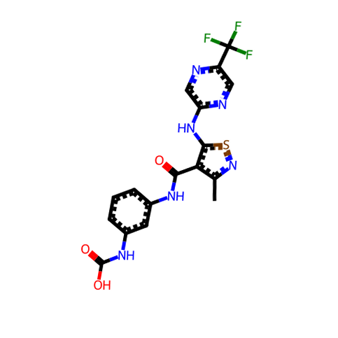 Cc1nsc(Nc2cnc(C(F)(F)F)cn2)c1C(=O)Nc1cccc(NC(=O)O)c1